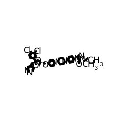 CCC(C)n1ncn(-c2ccc(N3CCN(c4ccc(OC[C@@H]5CO[C@](Cc6ccnnc6)(c6ccc(Cl)c(Cl)c6)O5)cc4)CC3)cc2)c1=O